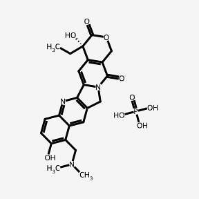 CC[C@@]1(O)C(=O)OCc2c1cc1n(c2=O)Cc2cc3c(CN(C)C)c(O)ccc3nc2-1.O=P(O)(O)O